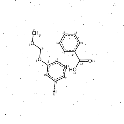 COCOc1cncc(Br)c1.O=C(O)c1ccccc1